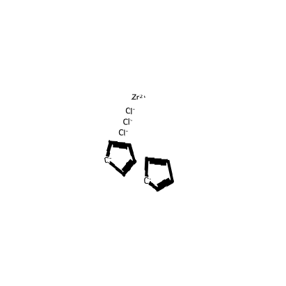 [Cl-].[Cl-].[Cl-].[Zr+2].c1cc[cH-]c1.c1cc[cH-]c1